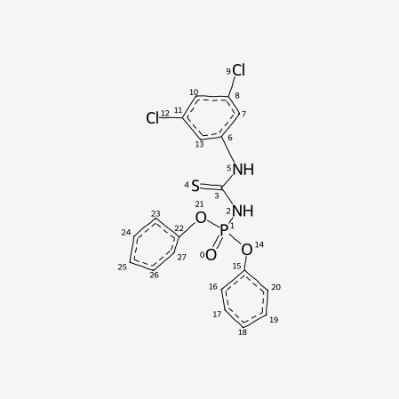 O=P(NC(=S)Nc1cc(Cl)cc(Cl)c1)(Oc1ccccc1)Oc1ccccc1